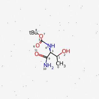 CC(O)[C@H](NC(=O)OC(C)(C)C)C(N)=O